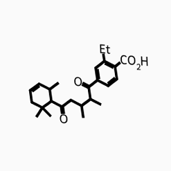 CCc1cc(C(=O)C(C)C(C)CC(=O)C2C(C)C=CCC2(C)C)ccc1C(=O)O